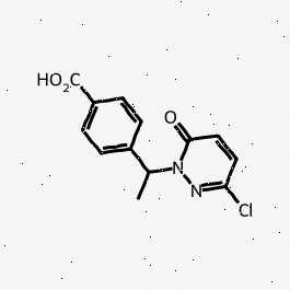 CC(c1ccc(C(=O)O)cc1)n1nc(Cl)ccc1=O